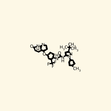 Cc1ccc(-n2nc(C(C)(C)C)cc2NC(=O)Nc2ccc(Oc3ccnc4c3CCC(=O)N4)cc2C(F)(F)F)cc1